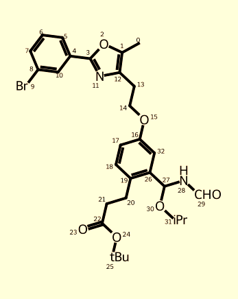 Cc1oc(-c2cccc(Br)c2)nc1CCOc1ccc(CCC(=O)OC(C)(C)C)c(C(NC=O)OC(C)C)c1